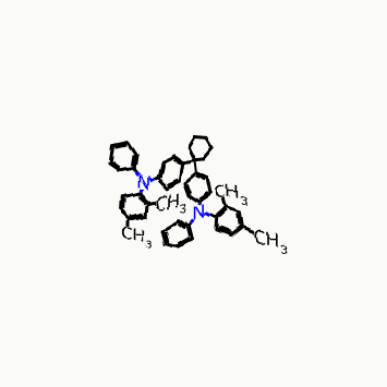 Cc1ccc(N(c2ccccc2)c2ccc(C3(c4ccc(N(c5ccccc5)c5ccc(C)cc5C)cc4)CCCCC3)cc2)c(C)c1